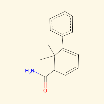 CC1(C)C(c2ccccc2)=CC=CC1C(N)=O